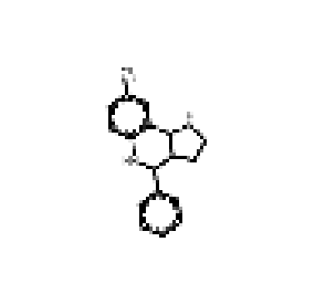 FC(F)(F)c1ccc2c(c1)C1NCCC1C(c1ccccc1)N2